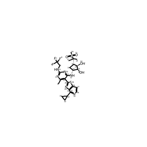 Cc1nc(NCC(F)(F)F)nc(N[C@@H]2C[C@H](C(C)(C)S(C)(=O)=O)[C@@H](O)[C@H]2O)c1-c1nc2c(C3CC3)nccc2s1